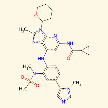 Cc1nc2c(Nc3ccc(-c4cncn4C)cc3N(C)S(C)(=O)=O)cc(NC(=O)C3CC3)nc2n1C1CCCCO1